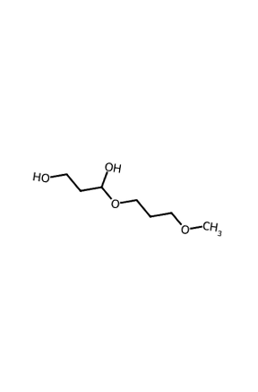 COCCCOC(O)CCO